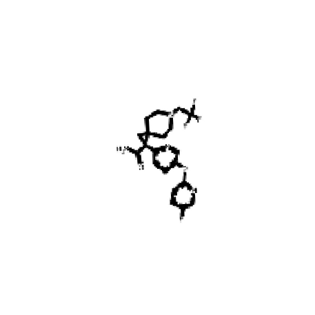 NC(=O)C1(c2ccc(Oc3ccc(F)cn3)cn2)CC12CCN(CC(F)(F)F)CC2